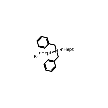 CCCCCCC[N+](CCCCCCC)(Cc1ccccc1)Cc1ccccc1.[Br-]